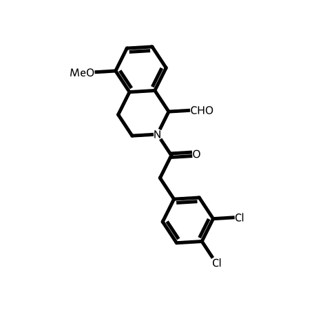 COc1cccc2c1CCN(C(=O)Cc1ccc(Cl)c(Cl)c1)C2C=O